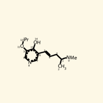 CNC(C)CC=Cc1cncc(OC(C)C)c1O